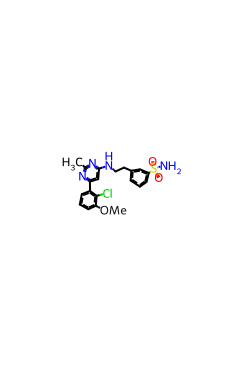 COc1cccc(-c2cc(NCCc3cccc(S(N)(=O)=O)c3)nc(C)n2)c1Cl